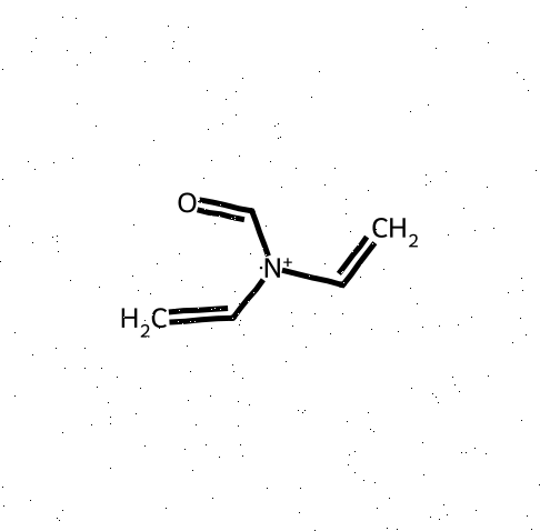 C=C[N+](C=C)C=O